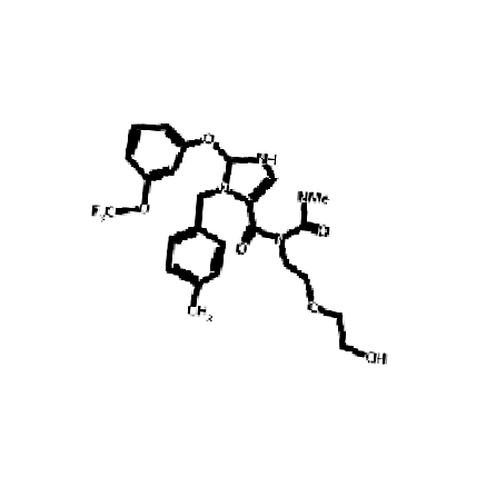 CNC(=O)N(CCOCCO)C(=O)C1=CNC(Oc2cccc(OC(F)(F)F)c2)N1Cc1ccc(C)cc1